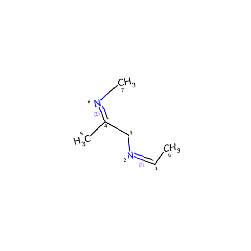 C/C=N\C/C(C)=N\C